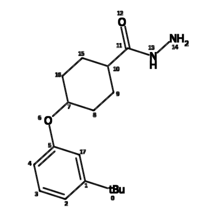 CC(C)(C)c1cccc(OC2CCC(C(=O)NN)CC2)c1